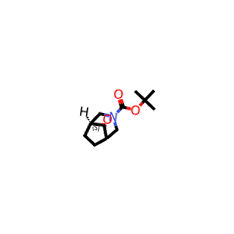 CC(C)(C)OC(=O)N1CC2CC[C@@H](C1)C2=O